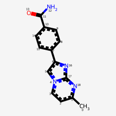 Cc1ccn2cc(-c3ccc(C(N)=O)cc3)nc2n1